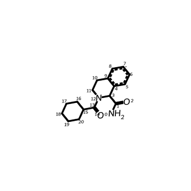 NC(=O)C1c2cc[c]cc2CCN1C(=O)C1CCCCC1